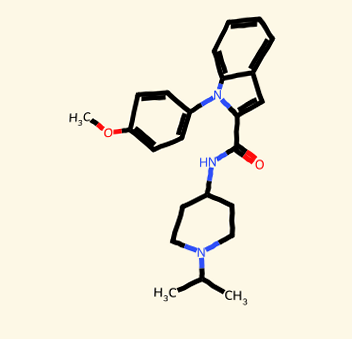 COc1ccc(-n2c(C(=O)NC3CCN(C(C)C)CC3)cc3ccccc32)cc1